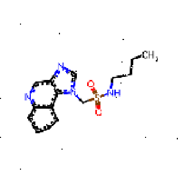 CCCCNS(=O)(=O)Cn1cnc2cnc3ccccc3c21